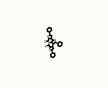 O=c1c2sc(-c3ccccc3)cc2c2sc(-c3ccccc3)c3c4cc(-c5ccccc5)sc4c(=O)n1c23